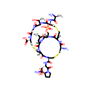 CC(C)C[C@@H]1NC(=O)[C@H](COP(=O)(O)O)NC(=O)[C@@H]2CSSC[C@H](NC(=O)[C@H](C)N)C(=O)N[C@@H]([C@@H](C)O)C(=O)NCC(=O)N[C@@H](C(=O)O)CSSC[C@H](NC1=O)C(=O)N[C@H](C(=O)N[C@@H](CC(N)=O)C(=O)N1CCC[C@H]1C(=O)O)CSSC[C@H](N)C(=O)N2